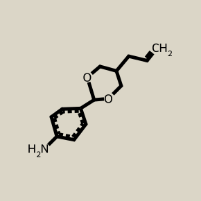 C=CCC1COC(c2ccc(N)cc2)OC1